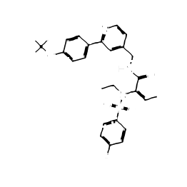 C/C=C(\C(=O)NCc1ccnc(-c2ccc(OC(F)(F)F)cc2)c1)N(CC)S(=O)(=O)c1ccc(F)cc1